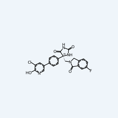 O=C1NC(=O)[C@](CN2Cc3ccc(F)cc3C2=O)(c2ccc(-c3cnc(O)c(Cl)c3)cc2)N1